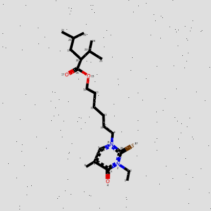 CCn1c(=O)c(C)cn(CCCCCCOC(=O)C(CC(C)C)C(C)C)c1=S